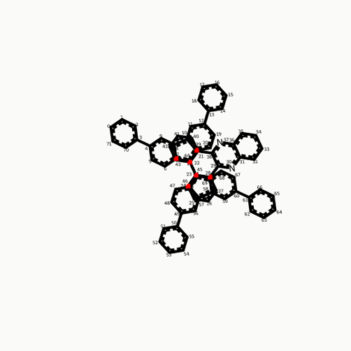 c1ccc(-c2ccc3c(c2)c2cc(-c4ccccc4)ccc2n3-c2ccccc2-c2nc3ccccc3nc2-c2ccccc2-n2c3ccc(-c4ccccc4)cc3c3cc(-c4ccccc4)ccc32)cc1